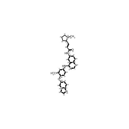 Cc1cc(Nc2ncnc3ccc(NC(=O)/C=C/C4CCCN4C)cc23)ccc1Oc1ccc2nccn2c1